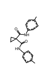 Cc1ccc(NC(=O)C2(C(=O)Nc3ccc(C)cc3)CC2)cc1